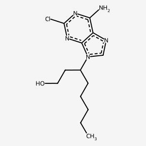 CCCCCC(CCO)n1cnc2c(N)nc(Cl)nc21